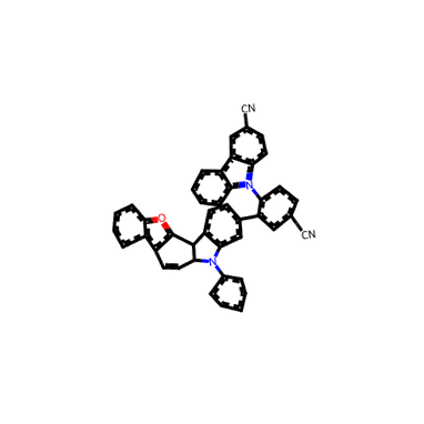 N#Cc1ccc(-n2c3ccccc3c3cc(C#N)ccc32)c(-c2ccc3c(c2)N(c2ccccc2)C2C=Cc4c(oc5ccccc45)C32)c1